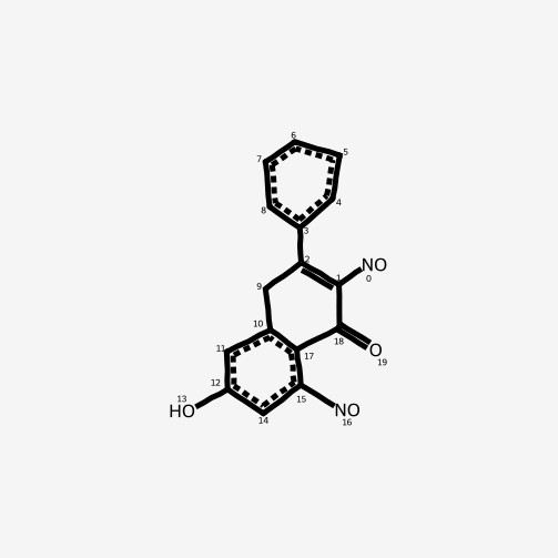 O=NC1=C(c2ccccc2)Cc2cc(O)cc(N=O)c2C1=O